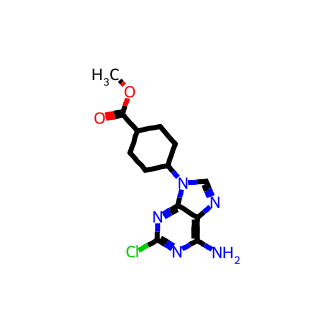 COC(=O)C1CCC(n2cnc3c(N)nc(Cl)nc32)CC1